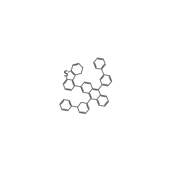 C1=CC(c2ccccc2)CC(c2c3ccccc3c(-c3cccc(-c4ccccc4)c3)c3ccc(-c4cccc5sc6c(c45)CCC=C6)cc23)=C1